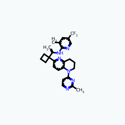 C=C(Nc1ncc(C(F)(F)F)cc1C)C1(c2ccc3c(n2)CCCN3c2ccnc(C)n2)CCC1